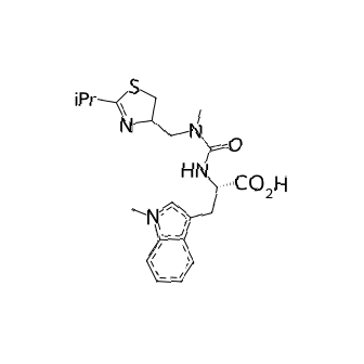 CC(C)C1=NC(CN(C)C(=O)N[C@@H](Cc2cn(C)c3ccccc23)C(=O)O)CS1